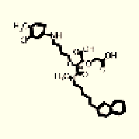 Cc1ccc(NCCCCO[C@@H](C(=O)N(C)CCCCCc2ccc3ccccc3c2)[C@@H](OCC(=O)O)C(=O)O)cc1Cl